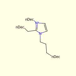 CCCCCCCCCCCCCn1cc[n+](CCCCCCCCCC)c1CCCCCCCCCCC